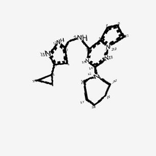 c1cc2c(Nc3cc(C4CC4)n[nH]3)nc(N3CCCCC3)nn2c1